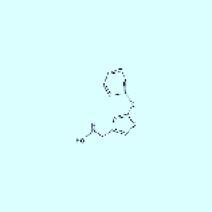 ONCc1csc(Sc2ccccc2)c1